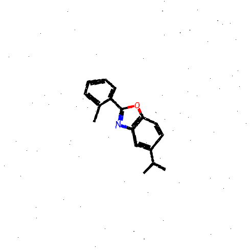 Cc1ccccc1-c1nc2cc(C(C)C)ccc2o1